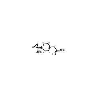 CC(C)(C)C(=O)CN1CCN(C2(C(C)(C)C)CC2)CC1